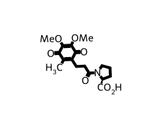 COC1=C(OC)C(=O)C(CCC(=O)N2CCC[C@H]2C(=O)O)=C(C)C1=O